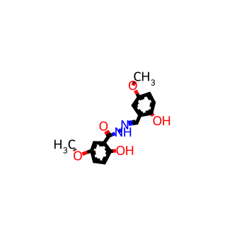 COc1ccc(O)c(/C=N/NC(=O)c2cc(OC)ccc2O)c1